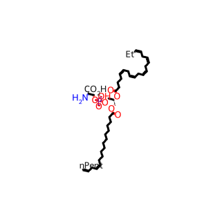 CC/C=C\C/C=C\C/C=C\C/C=C\C/C=C\CCCC(=O)O[C@H](COC(=O)CCCCCCCCCCC/C=C\C/C=C\CCCCC)COP(=O)(O)OC[C@H](N)C(=O)O